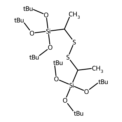 CC(SSC(C)[Si](OC(C)(C)C)(OC(C)(C)C)OC(C)(C)C)[Si](OC(C)(C)C)(OC(C)(C)C)OC(C)(C)C